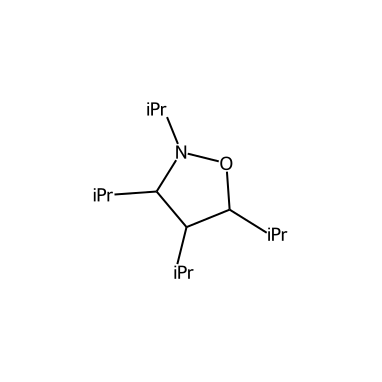 CC(C)C1ON(C(C)C)C(C(C)C)C1C(C)C